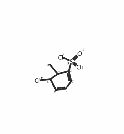 CC1C(S(=O)(=O)Cl)=CC=CC1Cl